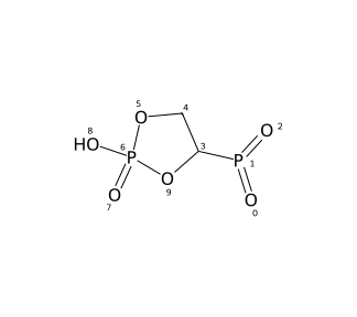 O=P(=O)C1COP(=O)(O)O1